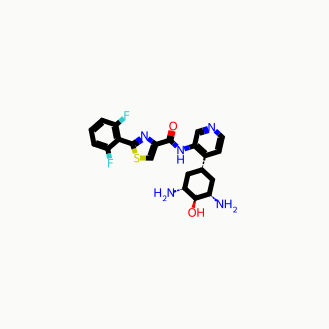 N[C@@H]1C[C@H](c2ccncc2NC(=O)c2csc(-c3c(F)cccc3F)n2)C[C@H](N)[C@H]1O